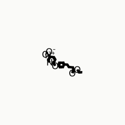 CCOC(=O)CCCc1ccc(Oc2ccc([N+](=O)[O-])cn2)cc1